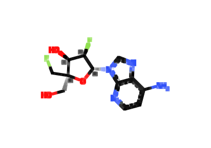 Nc1ccnc2c1ncn2[C@@H]1O[C@@](CO)(CF)[C@@H](O)[C@H]1F